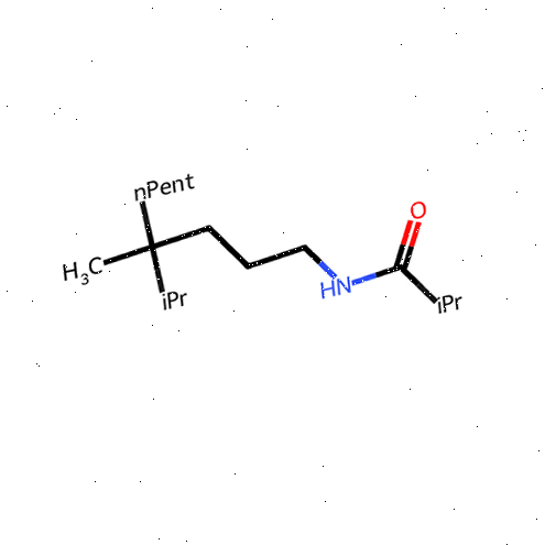 CCCCCC(C)(CCCNC(=O)C(C)C)C(C)C